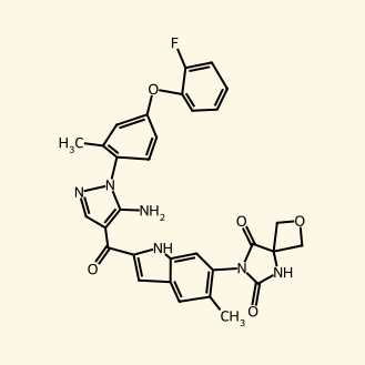 Cc1cc2cc(C(=O)c3cnn(-c4ccc(Oc5ccccc5F)cc4C)c3N)[nH]c2cc1N1C(=O)NC2(COC2)C1=O